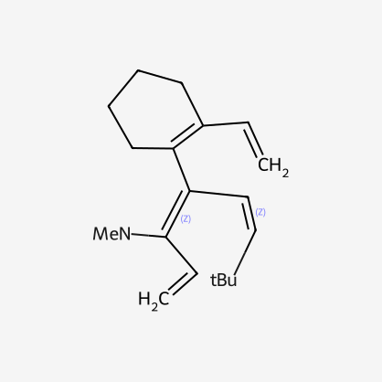 C=CC1=C(C(/C=C\C(C)(C)C)=C(/C=C)NC)CCCC1